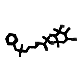 CCC1(C)CC(O)C(C)C(C)(CC)N1OC(C)(C)C(=O)NCCC[N+](C)(C)Cc1ccccc1